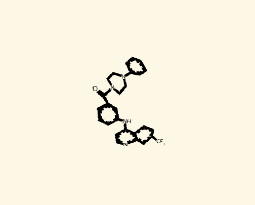 O=C(c1cccc(Nc2ccnc3cc(C(F)(F)F)ccc23)c1)N1CCN(c2ccccc2)CC1